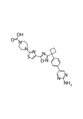 Nc1ncc(-c2ccc(C3(c4noc(-c5csc(N6CCN(C(=O)O)CC6)n5)n4)CCC3)cc2)cn1